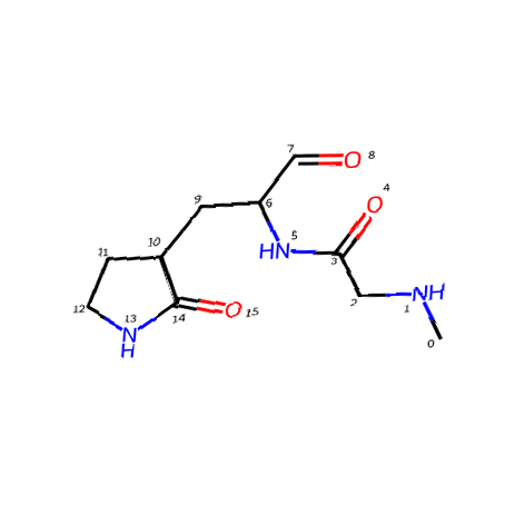 CNCC(=O)NC(C=O)CC1CCNC1=O